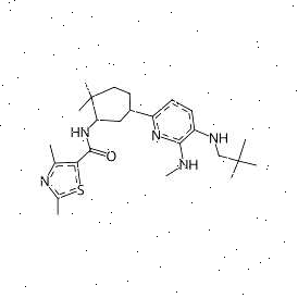 CNc1nc(C2CCC(C)(C)C(NC(=O)c3sc(C)nc3C)C2)ccc1NCC(C)(C)C